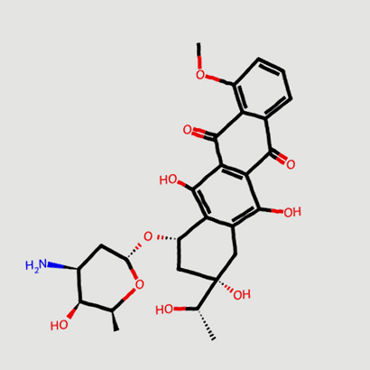 COc1cccc2c1C(=O)c1c(O)c3c(c(O)c1C2=O)C[C@@](O)([C@H](C)O)C[C@@H]3O[C@H]1C[C@H](N)[C@H](O)[C@H](C)O1